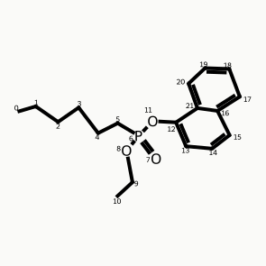 CCCCCCP(=O)(OCC)Oc1cccc2ccccc12